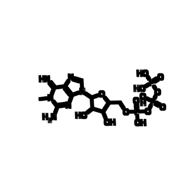 Cn1c(N)nc2c(ncn2C2OC(COP(=O)(O)OP(=O)(O)OP(=O)(O)O)C(O)C2O)c1=N